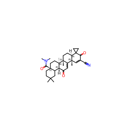 CN(C)C(=O)[C@]12CCC(C)(C)CC1[C@H]1C(=O)C=C3[C@@]4(C)C=C(C#N)C(=O)C5(CC5)[C@@H]4CC[C@@]3(C)[C@]1(C)CC2